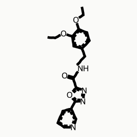 CCOc1ccc(CCNC(=O)c2nnc(-c3cccnc3)o2)cc1OCC